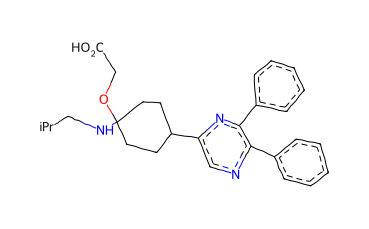 CC(C)CNC1(OCC(=O)O)CCC(c2cnc(-c3ccccc3)c(-c3ccccc3)n2)CC1